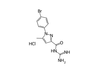 Cc1cc(C(=O)NC(=N)N)nn1-c1ccc(Br)cc1.Cl